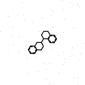 [c]1cccc2c1CCCC2C1CCc2ccccc2C1